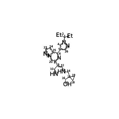 CCC(CC)n1cc(-c2nc(/C(C=N)=C/NCC3(CO)CC3)cn3nccc23)cn1